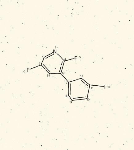 Fc1cnc(F)c(-c2cc[c]c(I)c2)c1